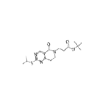 CC(C)Sc1ncc2c(n1)CCN(CCC(=O)OC(C)(C)C)C2=O